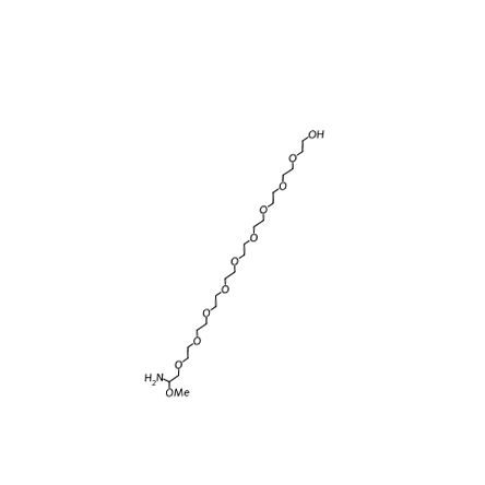 COC(N)COCCOCCOCCOCCOCCOCCOCCOCCOCCO